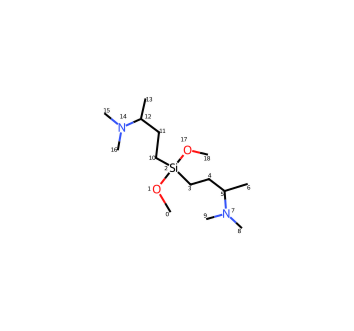 CO[Si](CCC(C)N(C)C)(CCC(C)N(C)C)OC